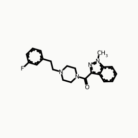 Cn1nc(C(=O)N2CCN(CCc3cccc(F)c3)CC2)c2ccccc21